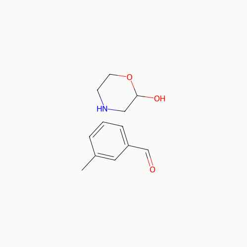 Cc1cccc(C=O)c1.OC1CNCCO1